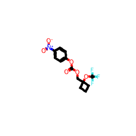 O=C(OCC1(OC(F)(F)F)CCC1)Oc1ccc([N+](=O)[O-])cc1